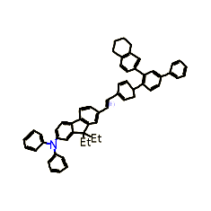 CCC1(CC)c2cc(/C=C/C3=CCC(c4ccc(-c5ccccc5)cc4-c4ccc5c(c4)CCCC5)C=C3)ccc2-c2ccc(N(c3ccccc3)c3ccccc3)cc21